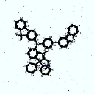 C/C=C\C1=C(C)c2c(N(c3ccc(-c4ccc5oc6ccccc6c5c4)cc3)c3ccc4c(c3)C(C)(C)c3ccccc3-4)cccc2C1(C1=CCCC=C1)c1ccccc1